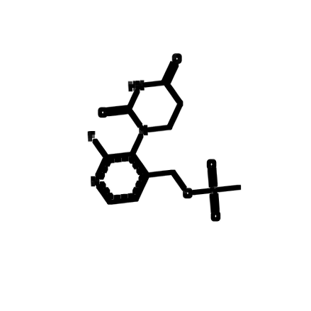 CS(=O)(=O)OCc1ccnc(F)c1N1CCC(=O)NC1=O